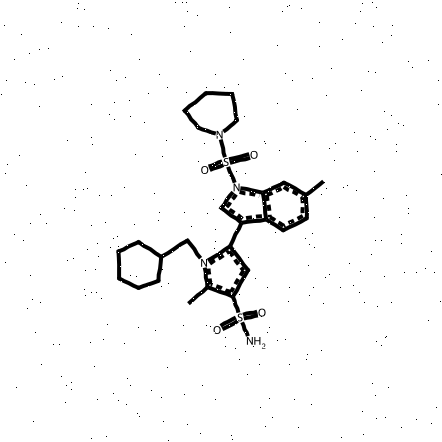 Cc1ccc2c(-c3cc(S(N)(=O)=O)c(C)n3CC3CCCCC3)cn(S(=O)(=O)N3CCCCC3)c2c1